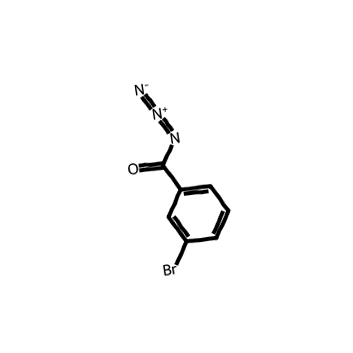 [N-]=[N+]=NC(=O)c1cccc(Br)c1